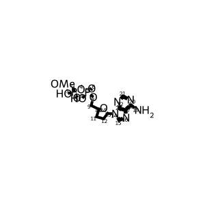 COP(=O)(O)OP(=O)(O)OCC1CCC(n2cnc3c(N)ncnc32)O1